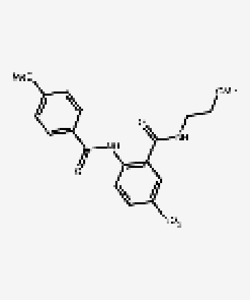 COCCNC(=O)c1cc([N+](=O)[O-])ccc1NC(=O)c1ccc(OC)cc1